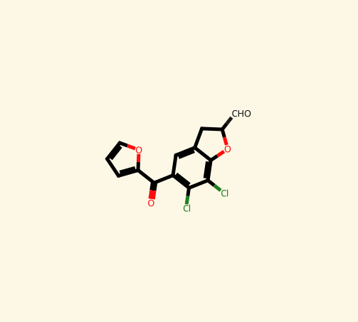 O=CC1Cc2cc(C(=O)c3ccco3)c(Cl)c(Cl)c2O1